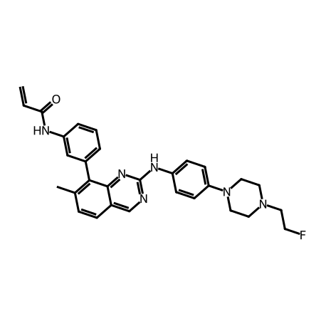 C=CC(=O)Nc1cccc(-c2c(C)ccc3cnc(Nc4ccc(N5CCN(CCF)CC5)cc4)nc23)c1